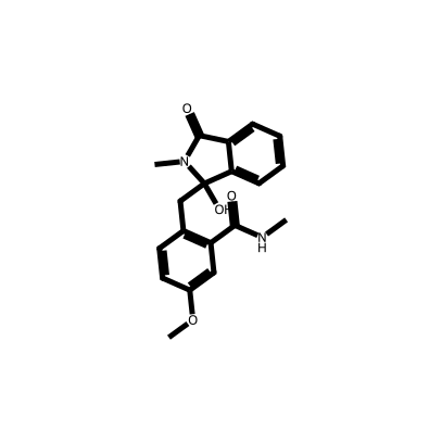 CNC(=O)c1cc(OC)ccc1CC1(O)c2ccccc2C(=O)N1C